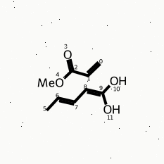 C=CC(=O)OC.CC=CC=C(O)O